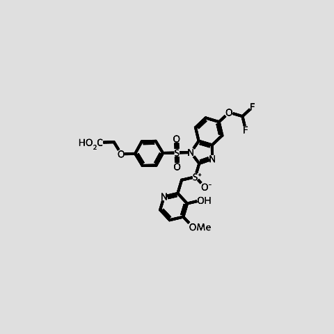 COc1ccnc(C[S+]([O-])c2nc3cc(OC(F)F)ccc3n2S(=O)(=O)c2ccc(OCC(=O)O)cc2)c1O